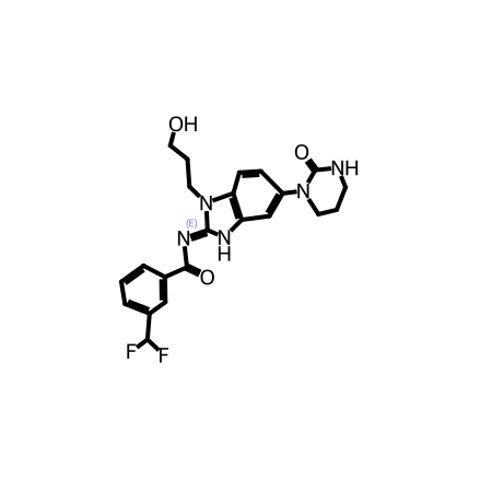 O=C(/N=c1\[nH]c2cc(N3CCCNC3=O)ccc2n1CCCO)c1cccc(C(F)F)c1